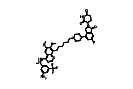 COc1cc2c(N[C@H](C)c3cc(N)cc(C(F)(F)F)c3)ncnc2c(CCCCCCN2CCC(c3cc(F)cc4c3CN(C3CCC(=O)NC3=O)C4=O)CC2)c1OC